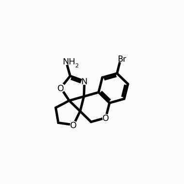 NC1=NC23c4cc(Br)ccc4OCC24OCCC43O1